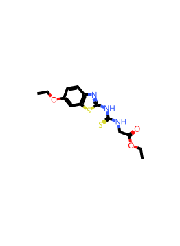 CCOC(=O)CNC(=S)Nc1nc2ccc(OCC)cc2s1